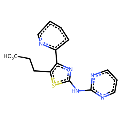 O=C(O)CCc1sc(Nc2ncccn2)nc1-c1ccccn1